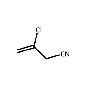 C=C(Cl)CC#N